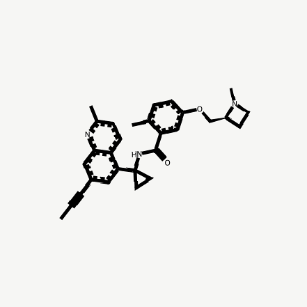 CC#Cc1cc(C2(NC(=O)c3cc(OC[C@@H]4CCN4C)ccc3C)CC2)c2ccc(C)nc2c1